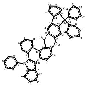 c1ccc(-n2c(-c3ccccc3-c3cccc4c3Oc3cc5c(cc3O4)C(c3ccccc3)(c3ccccc3)c3ccccc3-5)nc3ccccc32)cc1